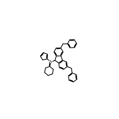 C1=CC[C]([Zr](=[C]2CCCCC2)[CH]2c3ccc(Cc4ccccc4)cc3-c3cc(Cc4ccccc4)ccc32)=C1